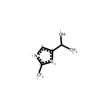 CC(O)c1cnc(C(F)(F)F)s1